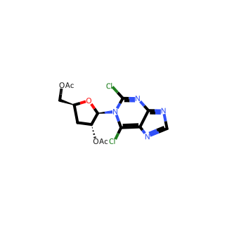 CC(=O)OC[C@@H]1C[C@@H](OC(C)=O)[C@H](n2c(Cl)nc3ncnc-3c2Cl)O1